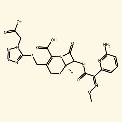 CO/N=C(\C(=O)NC1C(=O)N2C(C(=O)O)=C(CSc3nnnn3CC(=O)O)CS[C@H]12)c1cccc(N)n1